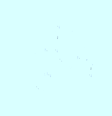 N#Cc1c(N)sc2c(F)ccc(-c3c(Cl)cc4c(N5CCOC6(CN(C(=O)[C@@H]7C[C@H]7C#N)C6)C5)nc(OC[C@@]56CCCN5C[C@H](F)C6)nc4c3F)c12